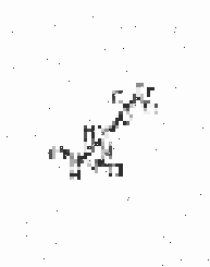 CCN(CC)C(=O)OCCNc1nc(Cl)nc(NC(C)C)n1